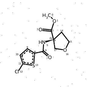 COC(=O)[C@]1(NC(=O)c2ccc(Cl)s2)CCOC1